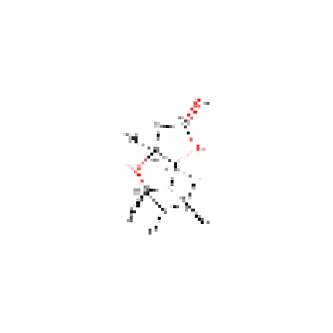 CC1[C@H](C)C[C@]23C[C@H]1O[C@H]2CC(=O)O3